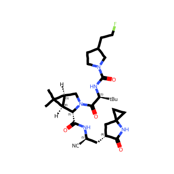 CC(C)(C)[C@H](NC(=O)N1CCC(CCF)C1)C(=O)N1C[C@H]2[C@@H]([C@H]1C(=O)N[C@H](C#N)C[C@@H]1CC3(CC3)NC1=O)C2(C)C